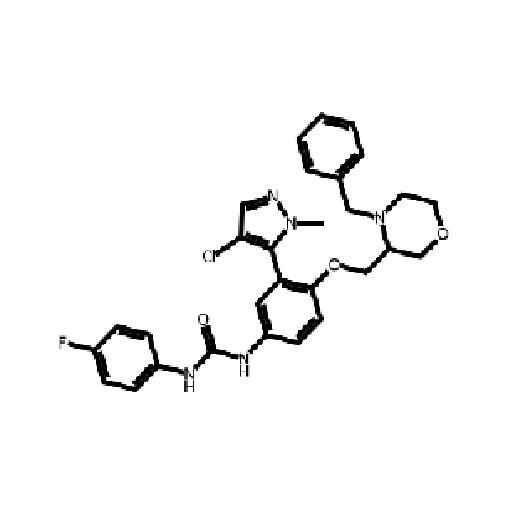 Cn1ncc(Cl)c1-c1cc(NC(=O)Nc2ccc(F)cc2)ccc1OCC1COCCN1Cc1ccccc1